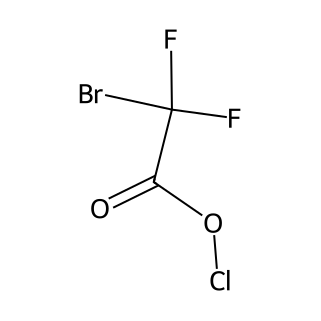 O=C(OCl)C(F)(F)Br